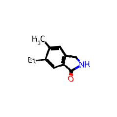 CCc1cc2c(cc1C)CNC2=O